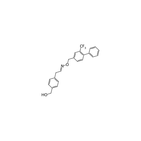 OCc1ccc(CC=NOCc2ccc(-c3ccccc3)c(C(F)(F)F)c2)cc1